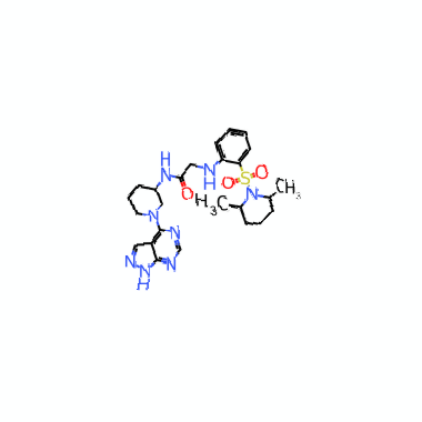 CC1CCCC(C)N1S(=O)(=O)c1ccccc1NCC(=O)N[C@@H]1CCCN(c2ncnc3[nH]ncc23)C1